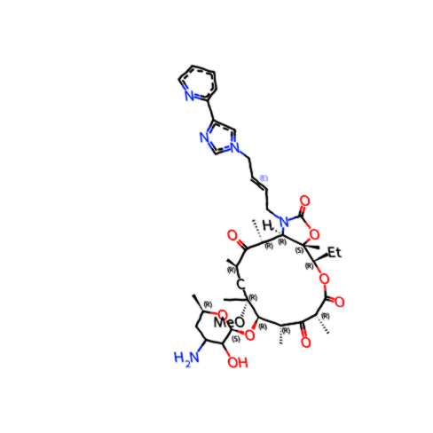 CC[C@H]1OC(=O)[C@H](C)C(=O)[C@H](C)[C@@H](O[C@@H]2O[C@H](C)CC(N)C2O)[C@](C)(OC)C[C@@H](C)C(=O)[C@H](C)[C@H]2N(C/C=C/Cn3cnc(-c4ccccn4)c3)C(=O)O[C@]12C